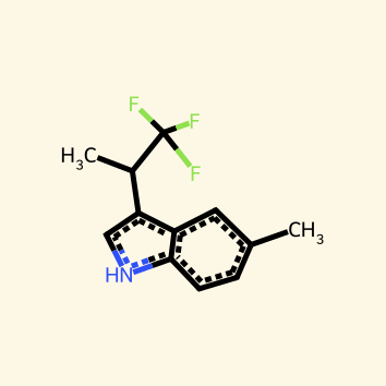 Cc1ccc2[nH]cc(C(C)C(F)(F)F)c2c1